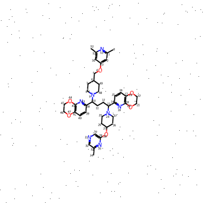 Cc1cc(OCC2CCN(C(CCC(c3ccc4c(n3)OCCO4)N3CCC(Oc4cncc(C)n4)CC3)c3ccc4c(n3)OCCO4)CC2)cc(C)n1